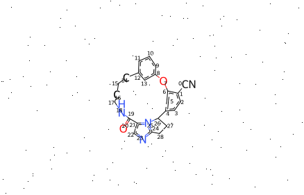 N#Cc1ccc2cc1Oc1cccc(c1)CCCCNC(=O)c1cnc3n1C2CC3